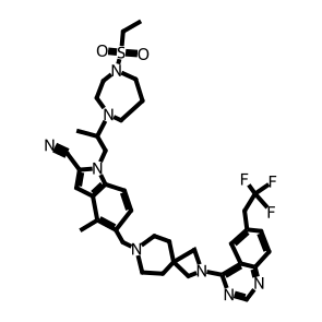 CCS(=O)(=O)N1CCCN(C(C)Cn2c(C#N)cc3c(C)c(CN4CCC5(CC4)CN(c4ncnc6ccc(CC(F)(F)F)cc46)C5)ccc32)CC1